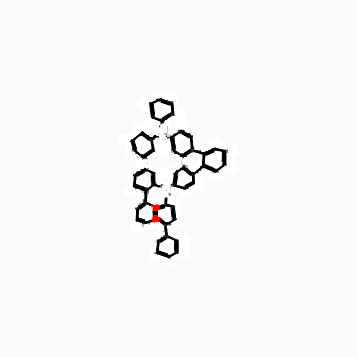 c1ccc(-c2ccc(N(c3ccc(-c4ccccc4-c4ccc(N(c5ccccc5)c5ccccc5)cc4)cc3)c3ccccc3-c3ccccc3)cc2)cc1